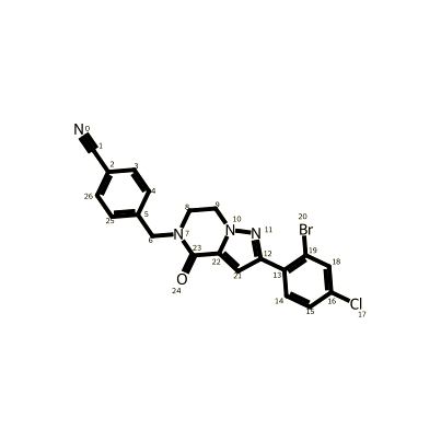 N#Cc1ccc(CN2CCn3nc(-c4ccc(Cl)cc4Br)cc3C2=O)cc1